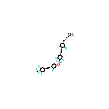 CCCCCc1cc(F)c(C#Cc2cc(F)c(C(F)(F)Oc3ccc(C#Cc4cc(F)c(C(F)(F)F)c(F)c4)c(F)c3)c(F)c2)c(F)c1